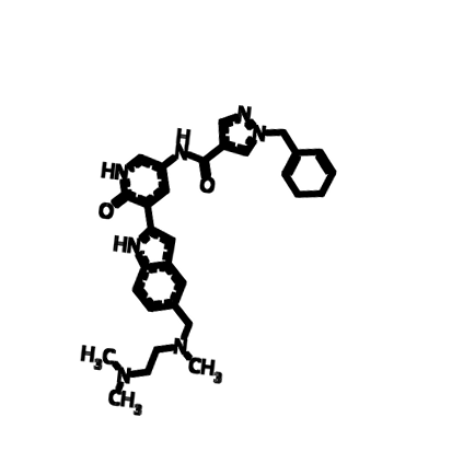 CN(C)CCN(C)Cc1ccc2[nH]c(-c3cc(NC(=O)c4cnn(CC5=CCCC=C5)c4)c[nH]c3=O)cc2c1